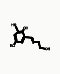 OCCN=Cc1cc(O)cc(O)c1O